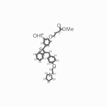 COC(=O)CCCOc1ccc(-c2sc3ccccc3c2Cc2ccc(OCCN3CCCC3)cc2)cc1C=O